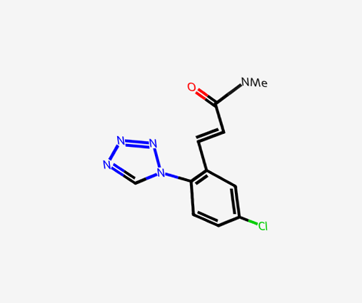 CNC(=O)/C=C/c1cc(Cl)ccc1-n1cnnn1